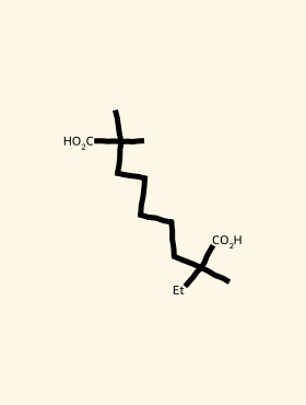 CCC(C)(CCCCCC(C)(C)C(=O)O)C(=O)O